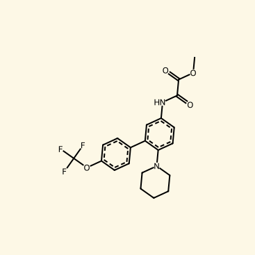 COC(=O)C(=O)Nc1ccc(N2CCCCC2)c(-c2ccc(OC(F)(F)F)cc2)c1